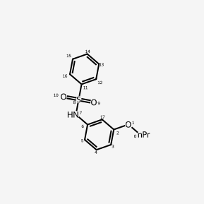 CCCOc1cccc(NS(=O)(=O)c2ccccc2)c1